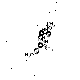 C=CC(=O)Nc1cccnc1-c1cccc2cnc(Nc3ccc(N4CCN(CC)CC4)cc3OC)nc12